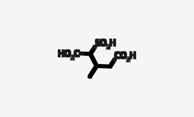 CC(CC(=O)O)C(C(=O)O)S(=O)(=O)O